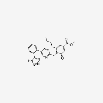 CCCCc1cc(C(=O)OC)cc(=O)n1Cc1ccc(-c2ccccc2-c2nnn[nH]2)cn1